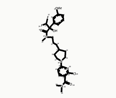 COc1cccc(C(O)(C(=O)N(C)CCCC2CCN(c3ccc(C(=O)N(C)C)c(Cl)n3)CC2)C(F)F)c1